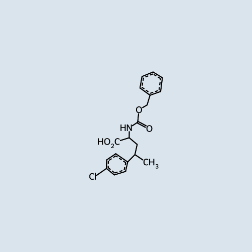 CC(CC(NC(=O)OCc1ccccc1)C(=O)O)c1ccc(Cl)cc1